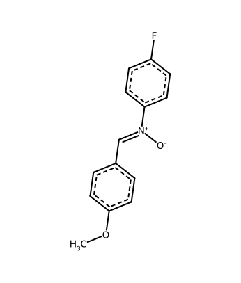 COc1ccc(C=[N+]([O-])c2ccc(F)cc2)cc1